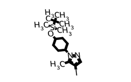 Cc1c(I)cnn1C1CCC(O[Si](C)(C)C(C)(C)C)CC1